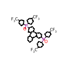 O=P(c1ccc(C(F)(F)F)cc1)(c1ccc(C(F)(F)F)cc1)c1ccc2c3ccc(P(=O)(c4ccc(C(F)(F)F)cc4)c4ccc(C(F)(F)F)cc4)cc3c3ccccc3c2c1